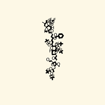 C=C(OS(=O)(=O)C(F)(F)F)[C@H](C)C[C@H]1CC[C@@H]2O[C@@H](CCC(C=C[C@H](O[Si](C)(C)C(C)(C)C)[C@@H]3O[C@H]4CC[C@H](CC(=O)C[C@@H]5[C@@H](OC)[C@@H](C[C@@H](CO[Si](C)(C)C(C)(C)C)O[Si](C)(C)C(C)(C)C)O[C@H]5CC=O)O[C@@H]4[C@H](O[Si](C)(C)C(C)(C)C)[C@@H]3O[Si](C)(C)C(C)(C)C)OC(=O)c3ccccc3)C[C@]2(CI)O1